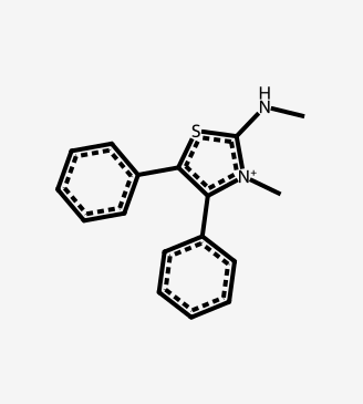 CNc1sc(-c2ccccc2)c(-c2ccccc2)[n+]1C